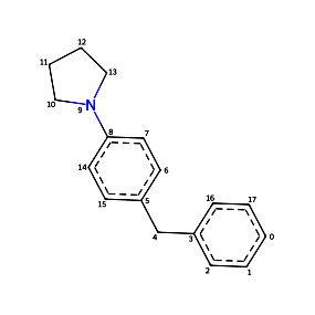 c1ccc(Cc2ccc(N3CCCC3)cc2)cc1